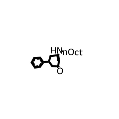 CCCCCCCCNC1=CC(=O)CC(c2ccccc2)C1